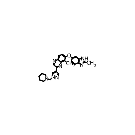 Cc1nc2ccc(Oc3ccc4ncc(-c5cnn(CN6CCCCC6)c5)nc4c3C)cc2[nH]1